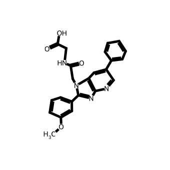 COc1cccc(-c2nc3ncc(-c4ccccc4)cc3n2CC(=O)NCC(=O)O)c1